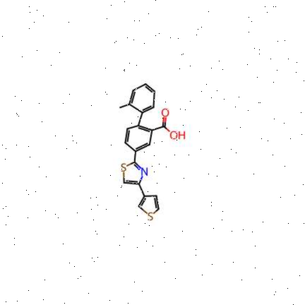 Cc1ccccc1-c1ccc(-c2nc(-c3ccsc3)cs2)cc1C(=O)O